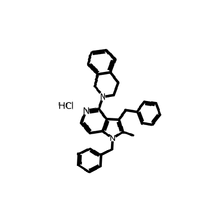 Cc1c(Cc2ccccc2)c2c(N3CCc4ccccc4C3)nccc2n1Cc1ccccc1.Cl